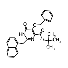 CC(C)(C)OC(=O)c1nc(Cc2cccc3ccccc23)[nH]c(=O)c1OCc1ccccc1